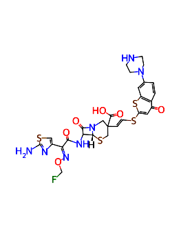 Nc1nc(C(=NOCF)C(=O)NC2C(=O)N3CC(C=CSc4cc(=O)c5ccc(N6CCNCC6)cc5s4)(C(=O)O)CS[C@H]23)cs1